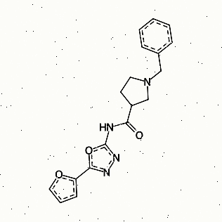 O=C(Nc1nnc(-c2ccco2)o1)C1CCN(Cc2ccccc2)C1